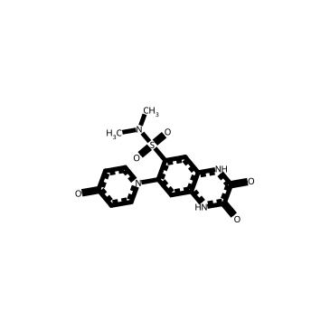 CN(C)S(=O)(=O)c1cc2[nH]c(=O)c(=O)[nH]c2cc1-n1ccc(=O)cc1